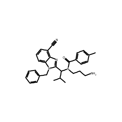 Cc1ccc(C(=O)N(CCCN)C(c2nc3c(C#N)cccc3n2Cc2ccccc2)C(C)C)cc1